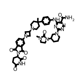 CN1CCN(C2CCCN(c3nnc(C(N)=O)c(Nc4ccc(C5(C)CCN(C6CN(c7ccc8c(c7)C(=O)N(C7CCC(=O)NC7=O)C8=O)C6)CC5)cc4)n3)C2)C1=O